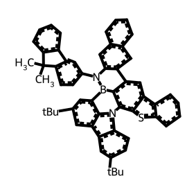 CC(C)(C)c1ccc2c(c1)c1cc(C(C)(C)C)cc3c1n2-c1c2c(cc4c1sc1ccccc14)-c1cc4ccccc4cc1N(c1ccc4c(c1)-c1ccccc1C4(C)C)B23